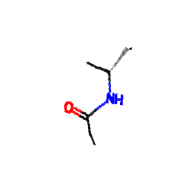 [CH2][C@@H](C)NC(C)=O